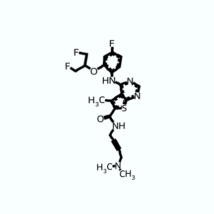 Cc1c(C(=O)NCC#CCN(C)C)sc2ncnc(Nc3ccc(F)cc3OC(CF)CF)c12